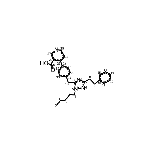 CCCCCn1nc(CCc2ccccc2)nc1Cc1ccc(-c2ccncc2C(=O)O)cc1